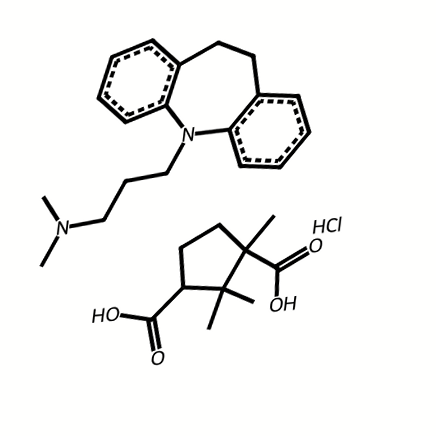 CC1(C(=O)O)CCC(C(=O)O)C1(C)C.CN(C)CCCN1c2ccccc2CCc2ccccc21.Cl